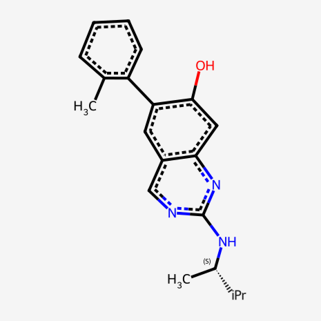 Cc1ccccc1-c1cc2cnc(N[C@@H](C)C(C)C)nc2cc1O